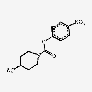 N#CC1CCN(C(=O)Oc2ccc([N+](=O)[O-])cc2)CC1